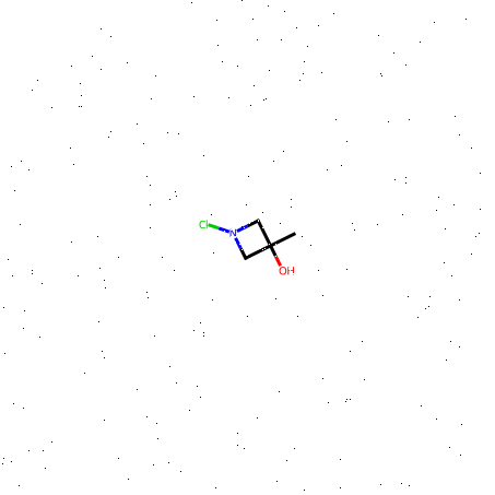 CC1(O)CN(Cl)C1